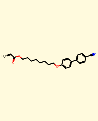 C=CC(=O)OCCCCCCCCOc1ccc(-c2ccc(C#N)cc2)cc1